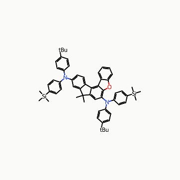 CC(C)(C)c1ccc(N(c2ccc([Si](C)(C)C)cc2)c2ccc3c(c2)C(C)(C)c2cc(N(c4ccc(C(C)(C)C)cc4)c4ccc([Si](C)(C)C)cc4)c4oc5ccccc5c4c2-3)cc1